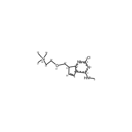 CNc1nc(Cl)nc2c1C=CC2COCC[Si](C)(C)C